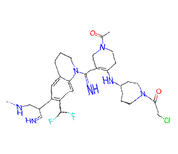 CNCC(C=N)c1cc2c(cc1C(F)F)N(C(=N)C1=C(NC3CCN(C(=O)CCl)CC3)CCN(C(C)=O)C1)CCC2